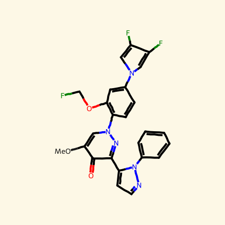 COc1cn(-c2ccc(-n3cc(F)c(F)c3)cc2OCF)nc(-c2ccnn2-c2ccccc2)c1=O